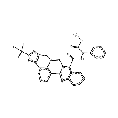 COC(=O)N(NC(=O)c1c(CN2CCn3nc(C(F)(F)F)nc3C2)c(-c2ccccc2)nc2ccccc12)c1ccccc1